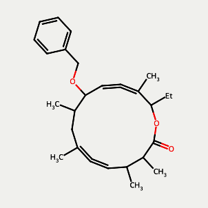 CCC1OC(=O)C(C)C(C)C=C=C(C)CC(C)C(OCc2ccccc2)C=C=C1C